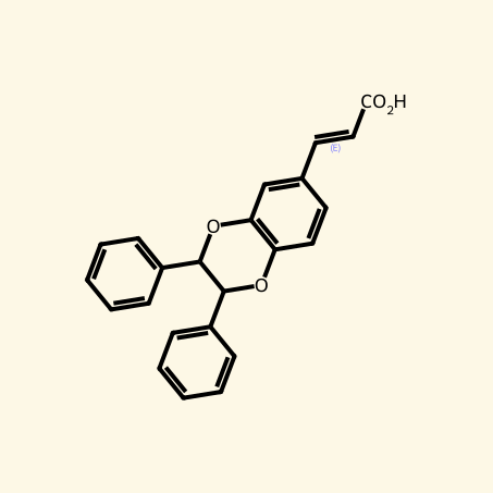 O=C(O)/C=C/c1ccc2c(c1)OC(c1ccccc1)C(c1ccccc1)O2